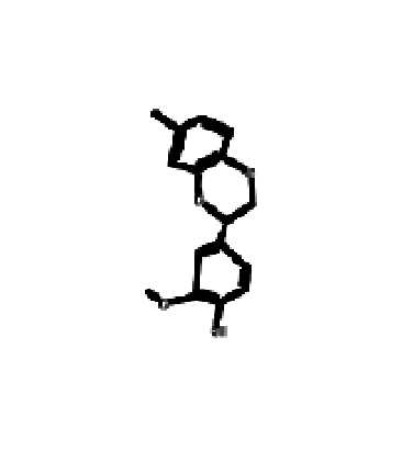 COc1cc([C@@H]2COc3ccc(C)cc3O2)ccc1O